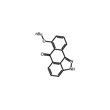 CCCCOc1cccc2c1C(=O)c1cccc3[nH]nc-2c13